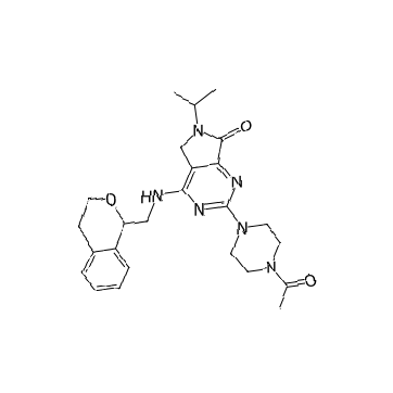 CC(=O)N1CCN(c2nc(NCC3OCCc4ccccc43)c3c(n2)C(=O)N(C(C)C)C3)CC1